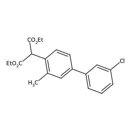 CCOC(=O)C(C(=O)OCC)c1ccc(-c2cccc(Cl)c2)cc1C